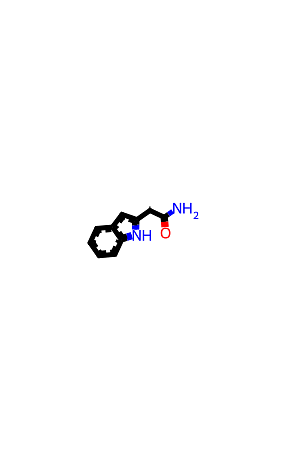 NC(=O)[CH]c1cc2ccccc2[nH]1